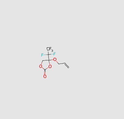 C=CCOC1(C(F)(F)C(F)(F)F)COC(=O)O1